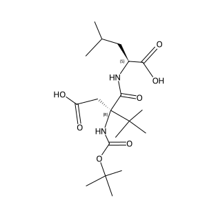 CC(C)C[C@H](NC(=O)[C@](CC(=O)O)(NC(=O)OC(C)(C)C)C(C)(C)C)C(=O)O